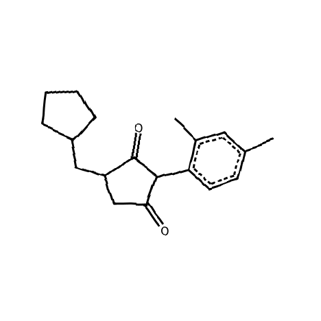 Cc1ccc(C2C(=O)CC(CC3CCCC3)C2=O)c(C)c1